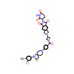 C[C@H]1CC2(CCN(c3ccc(C(=O)N4CC(N5Cc6cc7c(cc6C5)C(=O)N(C5CCC(=O)NC5=O)C7=O)C4)cc3)CC2)CN1c1ccc(C#N)c(Cl)c1